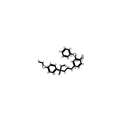 CCOc1ccc(C(C)(CC)CCCc2ccc(F)c(Oc3ccccc3)c2)cc1